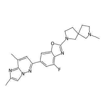 Cc1cn2nc(-c3cc(F)c4nc(N5CCC6(CCN(C)C6)C5)oc4c3)cc(C)c2n1